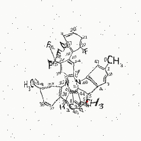 Cc1ccc2c3ccc(C)cc3n(-c3cc(-c4c(F)cccc4F)c(C(F)(F)F)cc3-n3c4cc(C)ccc4c4ccc(C)cc43)c2c1